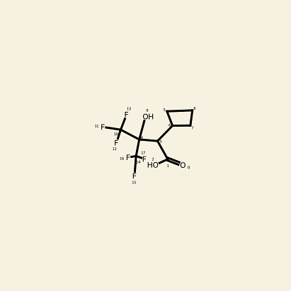 O=C(O)C(C1CCC1)C(O)(C(F)(F)F)C(F)(F)F